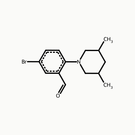 CC1CC(C)CN(c2ccc(Br)cc2C=O)C1